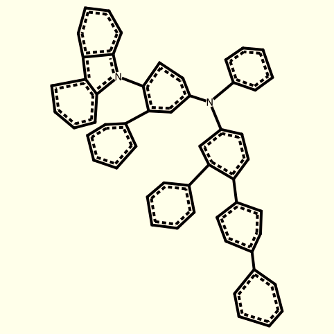 c1ccc(-c2ccc(-c3ccc(N(c4ccccc4)c4ccc(-n5c6ccccc6c6ccccc65)c(-c5ccccc5)c4)cc3-c3ccccc3)cc2)cc1